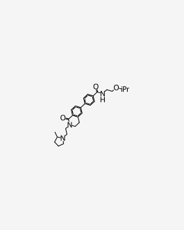 CC(C)OCCNC(=O)c1ccc(-c2ccc3c(c2)CCN(CCN2CCCC2C)C3=O)cc1